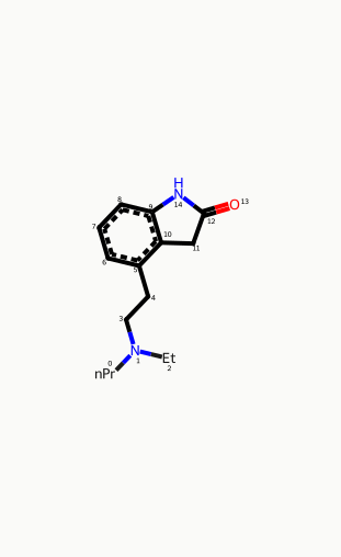 CCCN(CC)CCc1cccc2c1CC(=O)N2